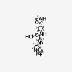 Cl.O=C(Nc1ccc([C@H]2CNCCO2)cc1)c1cnn(-c2ccnc(C(F)(F)F)c2)c1